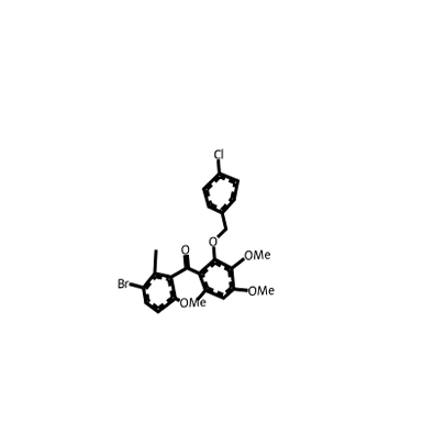 COc1cc(C)c(C(=O)c2c(OC)ccc(Br)c2C)c(OCc2ccc(Cl)cc2)c1OC